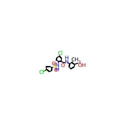 Cc1c(CO)cccc1NC(=O)c1cc(Cl)ccc1NS(=O)(=O)c1ccc(Cl)cc1